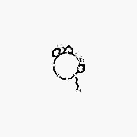 O=S1(=O)Nc2ccc(C(F)(F)F)c(n2)-c2ccccc2CCCCCCCCN(CCCO)c2cccc1n2